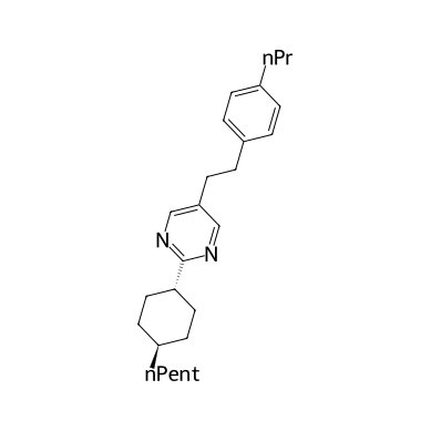 CCCCC[C@H]1CC[C@H](c2ncc(CCc3ccc(CCC)cc3)cn2)CC1